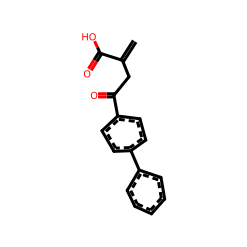 C=C(CC(=O)c1ccc(-c2ccccc2)cc1)C(=O)O